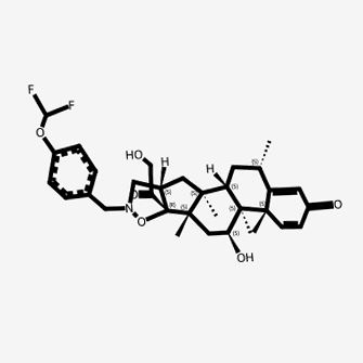 C[C@H]1C[C@@H]2[C@](C)([C@@H](O)C[C@@]3(C)[C@@]2(C)C[C@H]2CN(Cc4ccc(OC(F)F)cc4)O[C@]23C(=O)CO)[C@@]2(C)C=CC(=O)C=C12